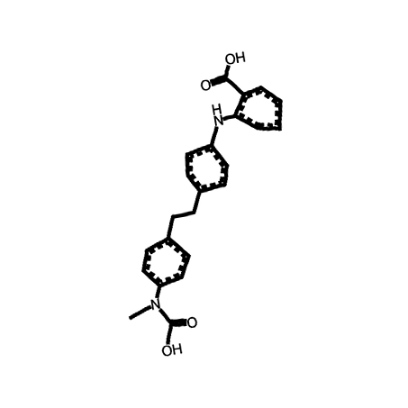 CN(C(=O)O)c1ccc(CCc2ccc(Nc3ccccc3C(=O)O)cc2)cc1